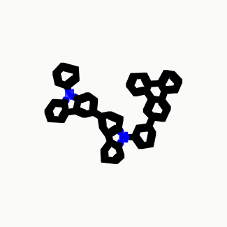 C1=CC2c3cc(-c4ccc5c(c4)c4ccccc4n5-c4ccccc4)ccc3N(c3cccc(-c4ccc5c6ccccc6c6ccccc6c5c4)c3)C2C=C1